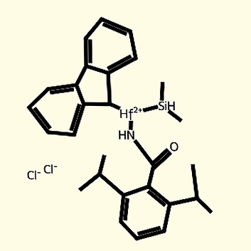 CC(C)c1cccc(C(C)C)c1C(=O)[NH][Hf+2]([CH]1c2ccccc2-c2ccccc21)[SiH](C)C.[Cl-].[Cl-]